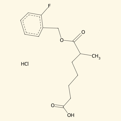 CC(CCCCC(=O)O)C(=O)OCc1ccccc1F.Cl